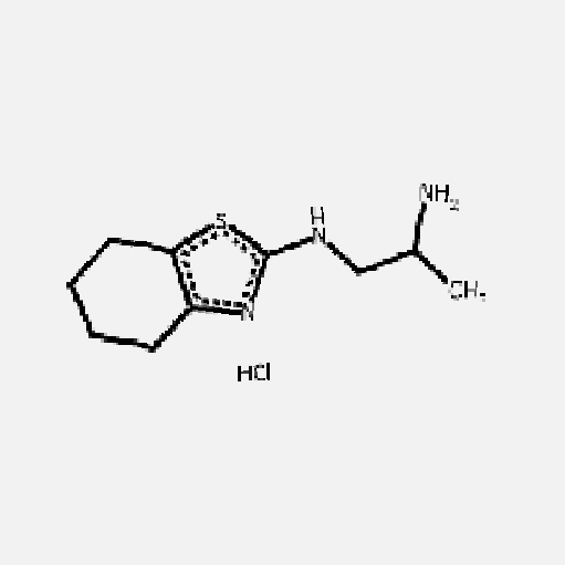 CC(N)CNc1nc2c(s1)CCCC2.Cl